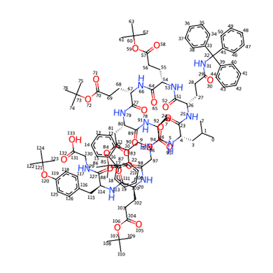 CC(C)C[C@H](NC(=O)OCC1c2ccccc2-c2ccccc21)C(=O)N[C@@H](CCC(=O)NC(c1ccccc1)(c1ccccc1)c1ccccc1)C(=O)N[C@@H](CCC(=O)OC(C)(C)C)C(=O)N[C@@H](CCC(=O)OC(C)(C)C)C(=O)N[C@@H](CC(=O)OC(C)(C)C)C(=O)N[C@@H](C)C(=O)NCC(=O)N[C@@H](CCC(=O)OC(C)(C)C)C(=O)N[C@@H](Cc1ccc(OC(C)(C)C)cc1)C(=O)NCC(=O)O